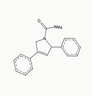 CNC(=O)N1CC(c2ccccc2)=CC1c1ccccc1